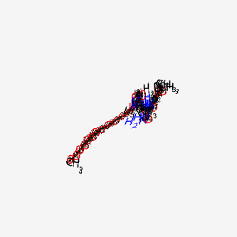 COCCOCCOCCOCCOCCOCCOCCOCCOCCOCCOCCOCCn1cc([C@H](CC(O)N[C@H](C(=O)N[C@@H](CCCNC(N)=O)C(=O)Nc2ccc(COC(=O)C(C)(C)C)cc2)C(C)C)N2C(=O)C=CC2=O)nn1